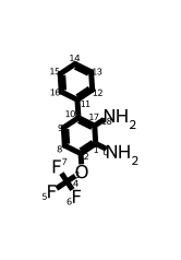 Nc1c(OC(F)(F)F)ccc(-c2ccccc2)c1N